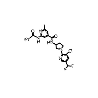 Cc1cc(C(=O)NC2CCN(c3ncc(C(F)F)cc3Cl)C2)cc(NC(=O)C(C)C)n1